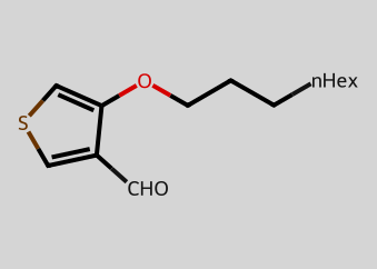 CCCCCCCCCOc1cscc1C=O